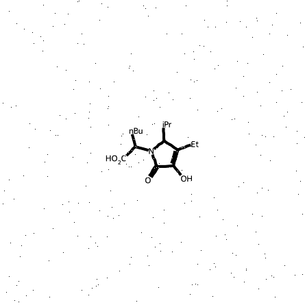 CCCCC(C(=O)O)N1C(=O)C(O)=C(CC)C1C(C)C